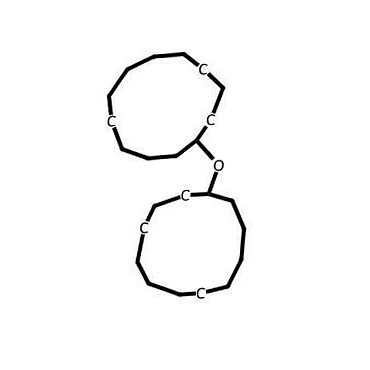 C1CCCCCC(OC2CCCCCCCCCCC2)CCCCC1